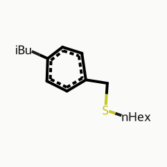 CCCCCCSCc1ccc(C(C)CC)cc1